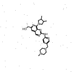 CC1CN(c2nc([C@@H](C)O)cc3cnc(Nc4ccc(CN5CCN(C)CC5)cn4)nc23)CC1C